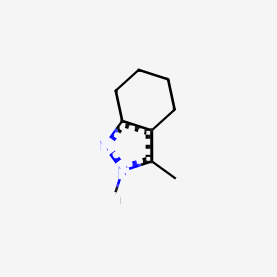 CCn1nc2c(c1C)CCCC2